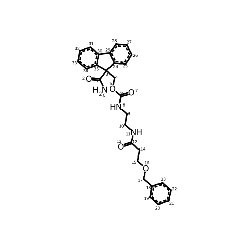 NC(=O)C1(COC(=O)NCCNC(=O)[CH]COCc2ccccc2)c2ccccc2-c2ccccc21